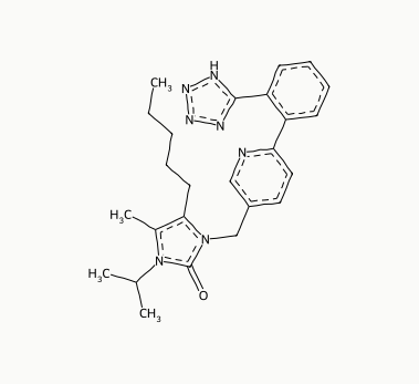 CCCCCc1c(C)n(C(C)C)c(=O)n1Cc1ccc(-c2ccccc2-c2nnn[nH]2)nc1